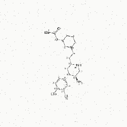 CC(C)(C)C(=O)OC1CCCN(CCC2C[C@@H](c3ccc(Cl)c(Cl)c3)[C@H](N)CN2)C1